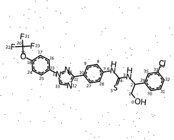 OCC(NC(=S)Nc1ccc(-c2ncn(-c3ccc(OC(F)(F)F)cc3)n2)cc1)c1cccc(Cl)c1